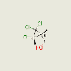 C[C@]1(CO)C(Cl)(Cl)[C@@]1(C)Cl